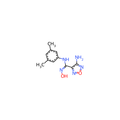 Cc1cc(C)cc(N/C(=N/O)c2nonc2N)c1